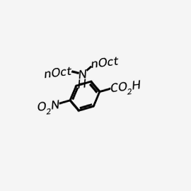 CCCCCCCCNCCCCCCCC.O=C(O)c1ccc([N+](=O)[O-])cc1